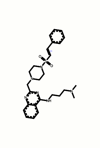 CN(C)CCCNc1nc(CN2CCN(S(=O)(=O)/C=C/c3ccccc3)CC2)nc2ccccc12